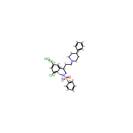 CN(CC(CCN1CCC(c2ccccc2)CC1)c1cc(Cl)cc(Cl)c1)S(=O)(=O)c1ccccc1.Cl